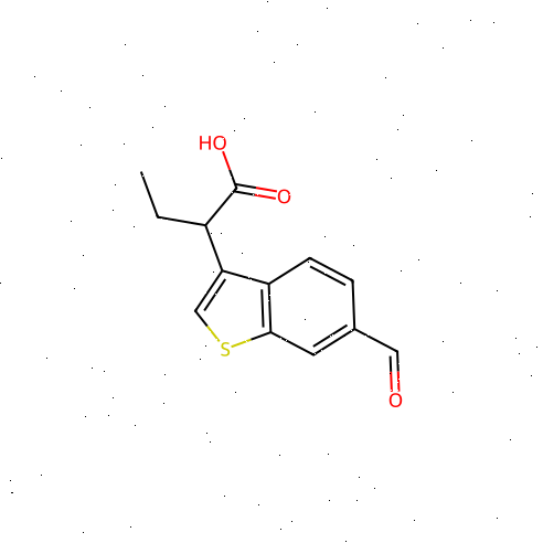 CCC(C(=O)O)c1csc2cc(C=O)ccc12